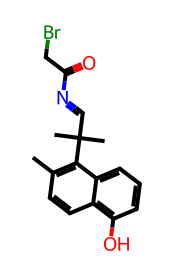 Cc1ccc2c(O)cccc2c1C(C)(C)/C=N/C(=O)CBr